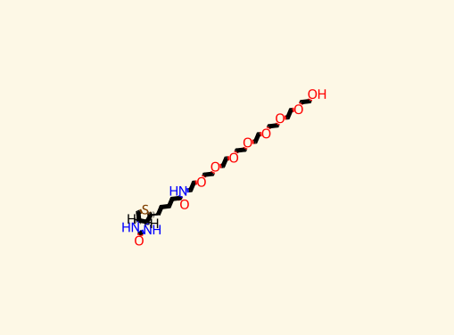 O=C(CCCC[C@@H]1SC[C@@H]2NC(=O)N[C@@H]21)NCCOCCOCCOCCOCCOCCOCCOCCO